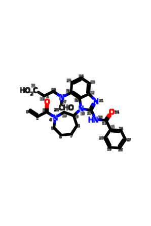 C=CC(=O)N1CCCCC(n2c(NC(=O)c3ccccc3)nc3cccc(N(C=O)CCC(=O)O)c32)C1